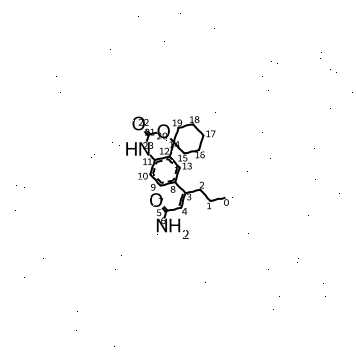 CCC/C(=C/C(N)=O)c1ccc2c(c1)C1(CCCCC1)OC(=O)N2